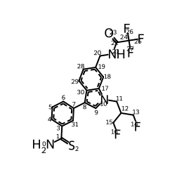 NC(=S)c1cccc(-c2cn(CC(CF)CF)c3cc(CNC(=O)C(F)(F)F)ccc23)c1